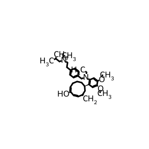 C=C1/C=C\C(O)=C/CCC[C@@H](c2cc(OC)c(OC)cc2N(CC)Cc2ccc(CCN(C)CC(C)C)cc2)C1